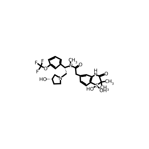 CN(C(=O)Cc1ccc2c(c1)NC(=O)C(C)(C)S2(O)O)[C@H](CN1CC[C@H](O)C1)c1cccc(OC(F)(F)F)c1